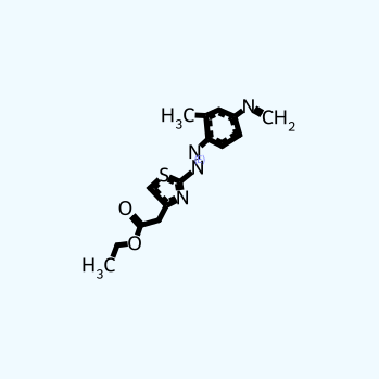 C=Nc1ccc(/N=N/c2nc(CC(=O)OCC)cs2)c(C)c1